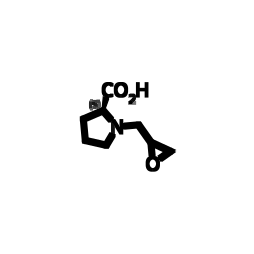 O=C(O)[C@@H]1CCCN1CC1CO1